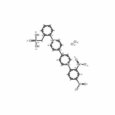 O=[N+]([O-])c1ccc(-[n+]2ccc(-c3cc[n+](-c4ccccc4CP(=O)(O)O)cc3)cc2)c([N+](=O)[O-])c1.[Cl-].[Cl-]